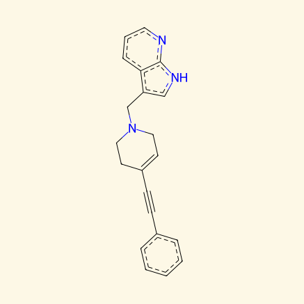 C(#Cc1ccccc1)C1=CCN(Cc2c[nH]c3ncccc23)CC1